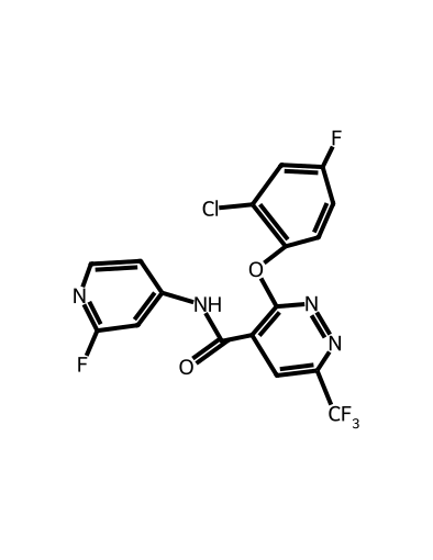 O=C(Nc1ccnc(F)c1)c1cc(C(F)(F)F)nnc1Oc1ccc(F)cc1Cl